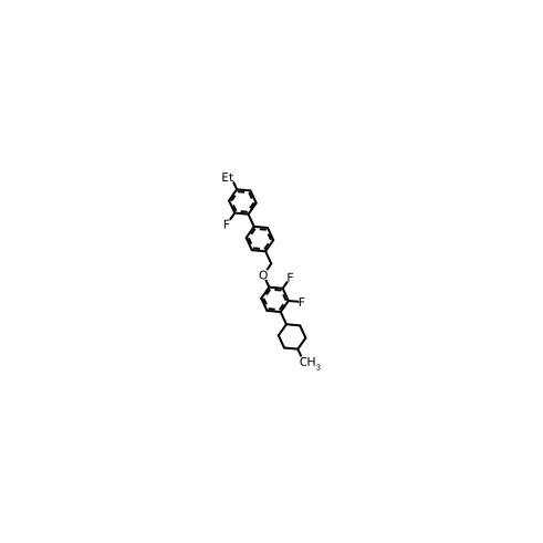 CCc1ccc(-c2ccc(COc3ccc(C4CCC(C)CC4)c(F)c3F)cc2)c(F)c1